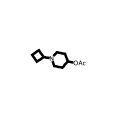 CC(=O)OC1CCN(C2CCC2)CC1